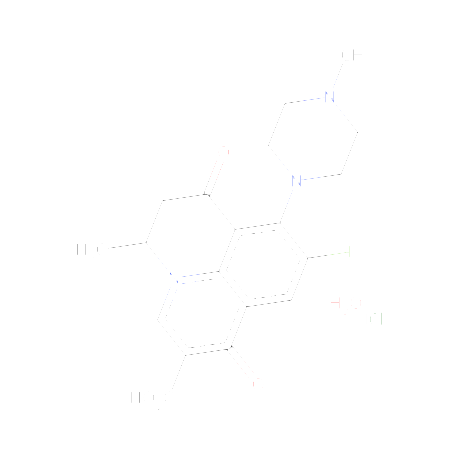 CC1CC(=O)c2c(N3CCN(C)CC3)c(F)cc3c(=O)c(C(=O)O)cn1c23.Cl.O